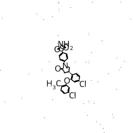 Cc1ccc(Cl)cc1Oc1cc(Cl)ccc1[C@H]1CC(=O)N(c2ccc(S(N)(=O)=O)cc2)C1